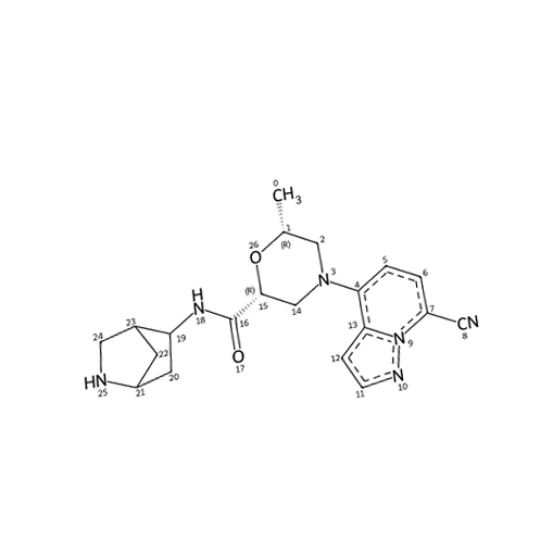 C[C@@H]1CN(c2ccc(C#N)n3nccc23)C[C@H](C(=O)NC2CC3CC2CN3)O1